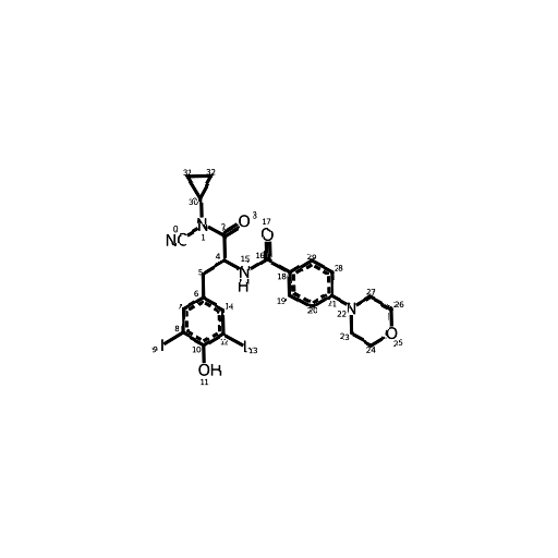 N#CN(C(=O)C(Cc1cc(I)c(O)c(I)c1)NC(=O)c1ccc(N2CCOCC2)cc1)C1CC1